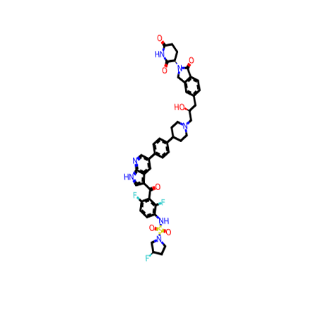 O=C1CC[C@H](N2Cc3cc(C[C@H](O)CN4CCC(c5ccc(-c6cnc7[nH]cc(C(=O)c8c(F)ccc(NS(=O)(=O)N9CC[C@@H](F)C9)c8F)c7c6)cc5)CC4)ccc3C2=O)C(=O)N1